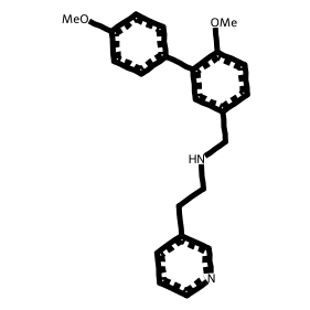 COc1ccc(-c2cc(CNCCc3cccnc3)ccc2OC)cc1